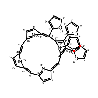 C1=Cc2cc3c(-c4ccco4)c(-c4ccco4)c(c(-c4ccco4)c4nc(cc5ccc(cc1n2)[nH]5)C=C4)n3-c1ccco1